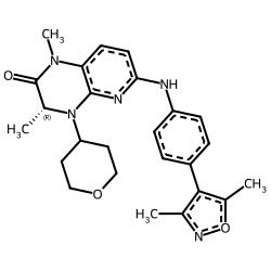 Cc1noc(C)c1-c1ccc(Nc2ccc3c(n2)N(C2CCOCC2)[C@H](C)C(=O)N3C)cc1